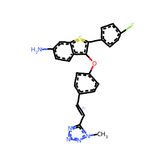 Cn1nnnc1/C=C/c1ccc(Oc2c(-c3ccc(F)cc3)sc3cc(N)ccc23)cc1